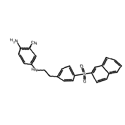 N#Cc1cc(NCCc2ccc(S(=O)(=O)c3ccc4ccccc4c3)cc2)ccc1N